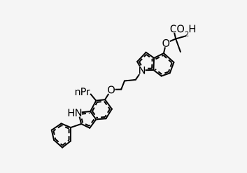 CCCc1c(OCCCn2ccc3c(OC(C)(C)C(=O)O)cccc32)ccc2cc(-c3ccccc3)[nH]c12